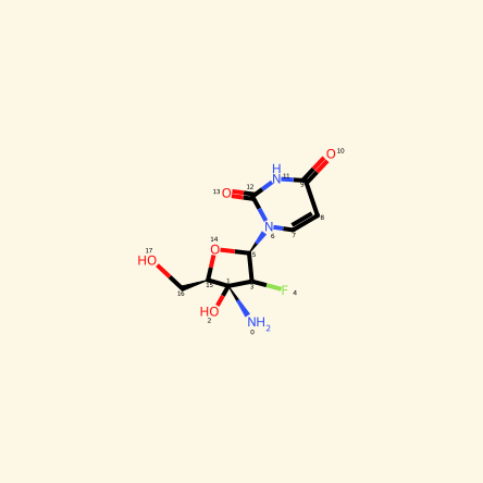 N[C@]1(O)C(F)[C@H](n2ccc(=O)[nH]c2=O)O[C@@H]1CO